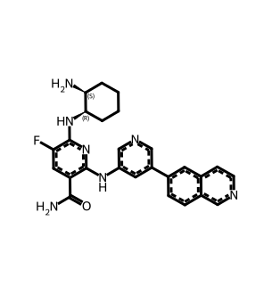 NC(=O)c1cc(F)c(N[C@@H]2CCCC[C@@H]2N)nc1Nc1cncc(-c2ccc3cnccc3c2)c1